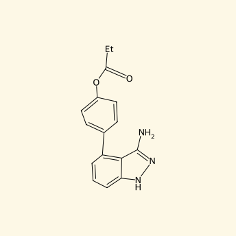 CCC(=O)Oc1ccc(-c2cccc3[nH]nc(N)c23)cc1